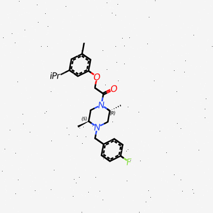 Cc1cc(OCC(=O)N2C[C@H](C)N(Cc3ccc(F)cc3)C[C@H]2C)cc(C(C)C)c1